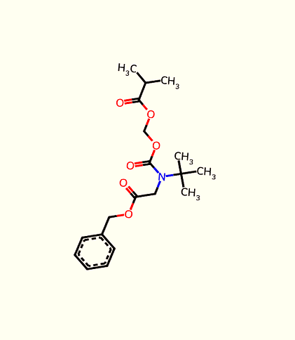 CC(C)C(=O)OCOC(=O)N(CC(=O)OCc1ccccc1)C(C)(C)C